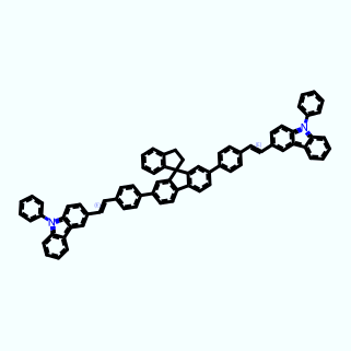 C(=C\c1ccc2c(c1)c1ccccc1n2-c1ccccc1)/c1ccc(-c2ccc3c(c2)C2(CCc4ccccc42)c2cc(-c4ccc(/C=C/c5ccc6c(c5)c5ccccc5n6-c5ccccc5)cc4)ccc2-3)cc1